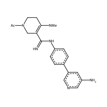 CNC1=C(C(=N)Nc2ccc(-c3cncc(N)c3)cc2)CN(C(C)=O)CC1